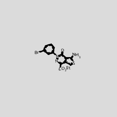 CCOC(=O)c1nn(-c2cccc(Br)c2)c(=O)c2c(N)scc12